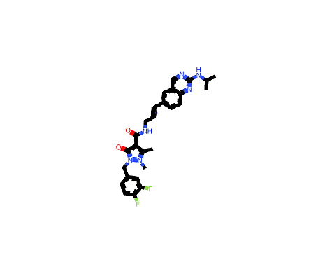 Cc1c(C(=O)NC/C=C/c2ccc3nc(NC(C)C)ncc3c2)c(=O)n(Cc2ccc(F)c(F)c2)n1C